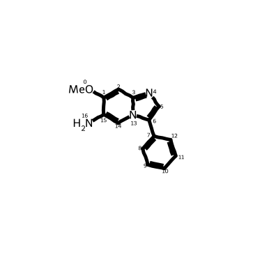 COc1cc2ncc(-c3ccccc3)n2cc1N